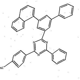 N#Cc1ccc(-c2nc(-c3ccccc3)nc(-c3cc(-c4ccccc4)cc(-c4cccc5ccccc45)c3)n2)cc1